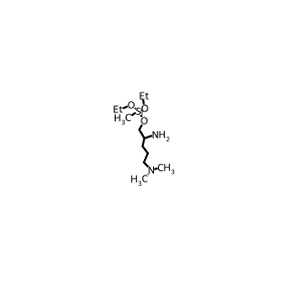 CCO[Si](C)(OCC)OCC(N)CCCN(C)C